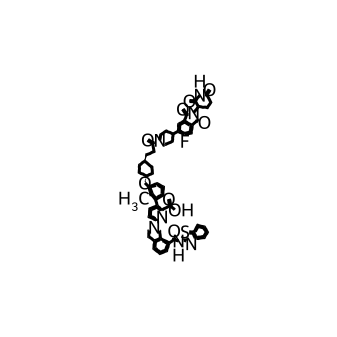 Cc1c(O[C@H]2CC[C@H](CCC(=O)N3CCC(c4cc5c(cc4F)C(=O)N(C4CCC(=O)NC4=O)C5=O)CC3)CC2)cccc1-c1ccc(N2CCc3cccc(C(=O)Nc4nc5ccccc5s4)c3C2)nc1C(=O)O